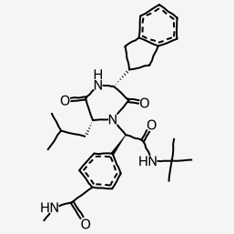 CNC(=O)c1ccc([C@H](C(=O)NC(C)(C)C)N2C(=O)[C@@H](C3Cc4ccccc4C3)NC(=O)[C@H]2CC(C)C)cc1